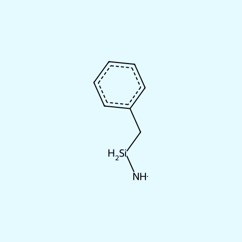 [NH][SiH2]Cc1ccccc1